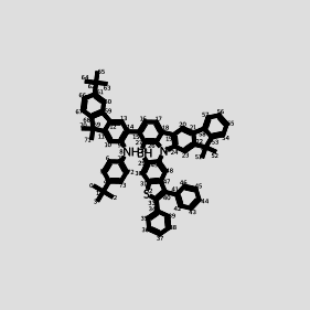 CC(C)(C)c1ccc(Nc2cc3c(cc2-c2ccc4c5cc6c(cc5n5c4c2Bc2cc4sc(-c7ccccc7)c(-c7ccccc7)c4cc2-5)C(C)(C)c2ccccc2-6)-c2cc(C(C)(C)C)ccc2C3(C)C)cc1